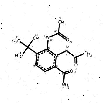 CC(=O)Nc1c(C(N)=O)ccc(C(C)(C)C)c1NC(C)=O